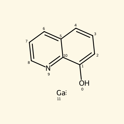 Oc1cccc2cccnc12.[Ga]